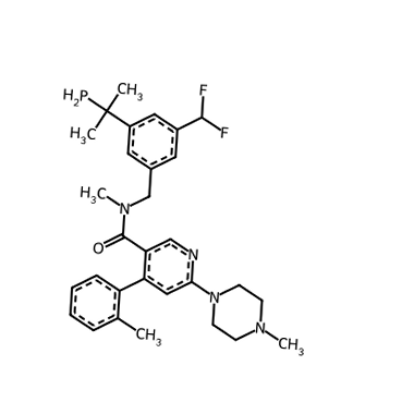 Cc1ccccc1-c1cc(N2CCN(C)CC2)ncc1C(=O)N(C)Cc1cc(C(F)F)cc(C(C)(C)P)c1